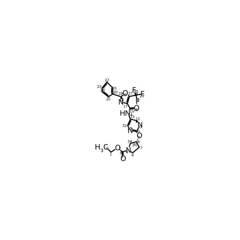 CCOC(=O)N1CC[C@@H](Oc2ncc(NC(=O)c3nc(-c4ccccc4)oc3C(F)(F)F)cn2)C1